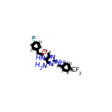 Cc1nc(NCc2ccc(C(F)(F)F)cc2)nc(N)c1NC(=O)Cc1ccc(F)cc1